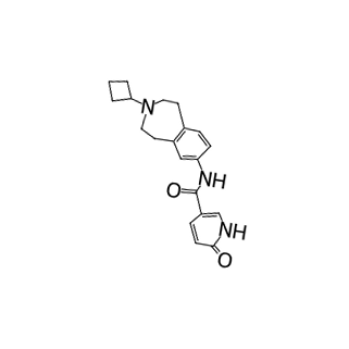 O=C(Nc1ccc2c(c1)CCN(C1CCC1)CC2)c1ccc(=O)[nH]c1